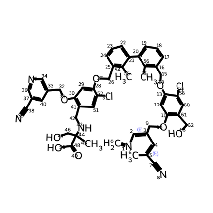 C=N/C=C(\C=C(/C)C#N)COc1cc(OCc2cccc(-c3cccc(COc4cc(OCc5cncc(C#N)c5)c(CNC(C)(CO)C(=O)O)cc4Cl)c3C)c2C)c(Cl)cc1CO